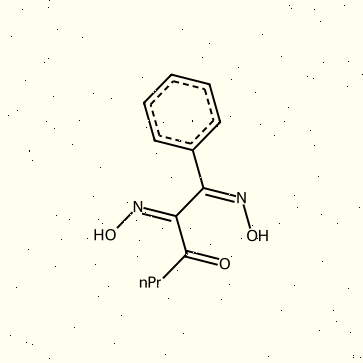 CCCC(=O)C(=NO)C(=NO)c1ccccc1